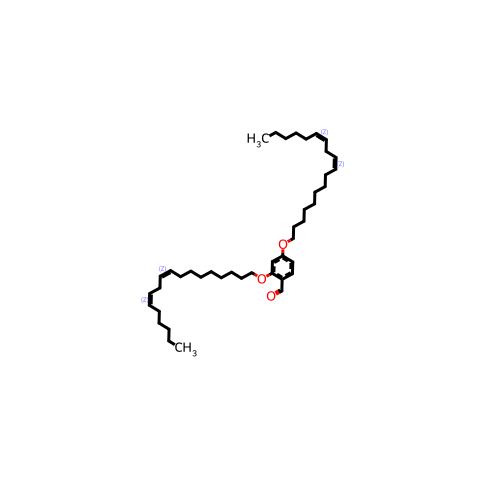 CCCCC/C=C\C/C=C\CCCCCCCCOc1ccc(C=O)c(OCCCCCCCC/C=C\C/C=C\CCCCC)c1